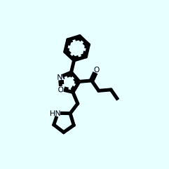 CCCC(=O)c1c(-c2ccccc2)noc1CC1CCCN1